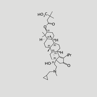 CC(C)C1=C2[C@H]3CC[C@@H]4[C@@]5(C)CC[C@H](OC(=O)CC(C)(C)C(=O)O)C(C)(C)[C@@H]5CC[C@@]4(C)[C@]3(C)CC[C@@]2([C@@H](O)CN(C)CC2CC2)CC1=O